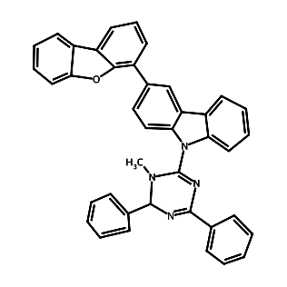 CN1C(n2c3ccccc3c3cc(-c4cccc5c4oc4ccccc45)ccc32)=NC(c2ccccc2)=NC1c1ccccc1